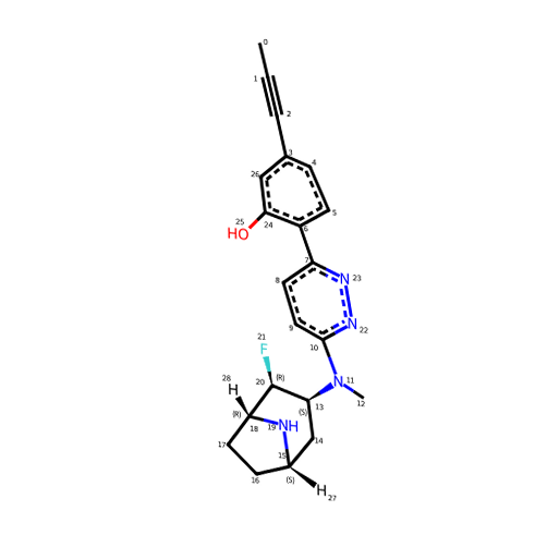 CC#Cc1ccc(-c2ccc(N(C)[C@H]3C[C@@H]4CC[C@@H](N4)[C@H]3F)nn2)c(O)c1